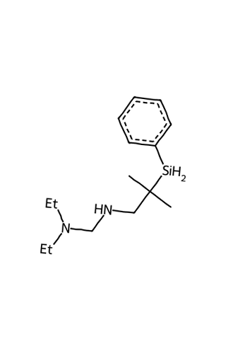 CCN(CC)CNCC(C)(C)[SiH2]c1ccccc1